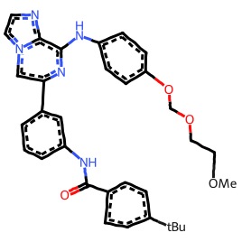 COCCOCOc1ccc(Nc2nc(-c3cccc(NC(=O)c4ccc(C(C)(C)C)cc4)c3)cn3ccnc23)cc1